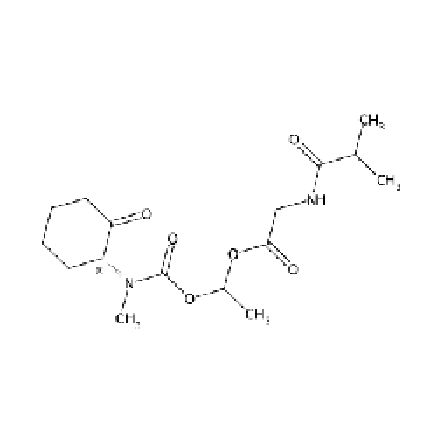 CC(OC(=O)CNC(=O)C(C)C)OC(=O)N(C)[C@@H]1CCCCC1=O